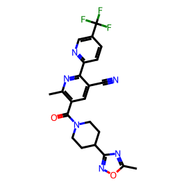 Cc1nc(C2CCN(C(=O)c3cc(C#N)c(-c4ccc(C(F)(F)F)cn4)nc3C)CC2)no1